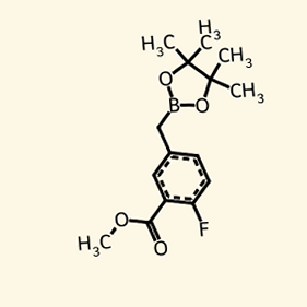 COC(=O)c1cc(CB2OC(C)(C)C(C)(C)O2)ccc1F